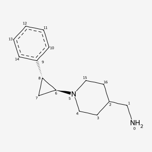 NCC1CCN([C@H]2C[C@@H]2c2ccccc2)CC1